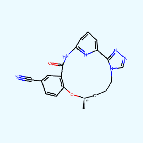 C[C@@H]1CCCn2cnnc2-c2cccc(n2)NC(=O)c2cc(C#N)ccc2O1